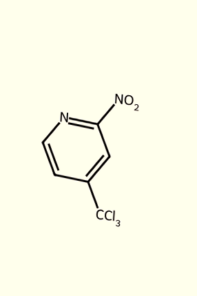 O=[N+]([O-])c1cc(C(Cl)(Cl)Cl)ccn1